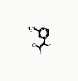 Nc1cccc(C(F)=C(F)Cl)c1